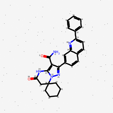 NC(=O)c1c(-c2ccc3ccc(-c4ccccc4)nc3c2)nn2c1NC(=O)CC21CCCCC1